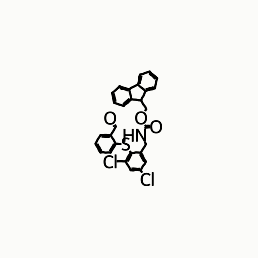 O=Cc1ccccc1Sc1c(Cl)cc(Cl)cc1CNC(=O)OCC1c2ccccc2-c2ccccc21